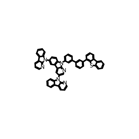 c1cc(-c2cccc(-n3c4ccc(-n5c6ccccc6c6cccnc65)cc4c4cc(-n5c6ccccc6c6cccnc65)cnc43)c2)cc(-c2cccc3c2sc2ccccc23)c1